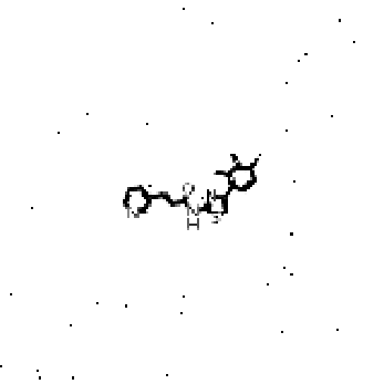 Cc1ccc(-c2csc(NC(=O)C=Cc3cccnc3)n2)c(C)c1C